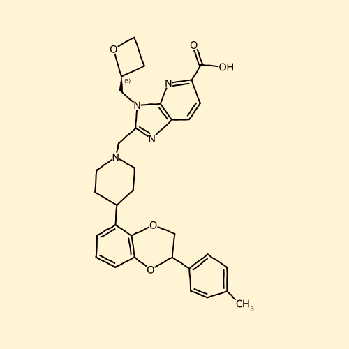 Cc1ccc(C2COc3c(cccc3C3CCN(Cc4nc5ccc(C(=O)O)nc5n4C[C@@H]4CCO4)CC3)O2)cc1